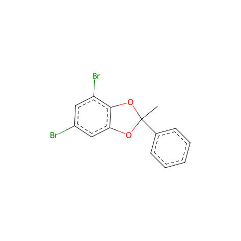 CC1(c2ccccc2)Oc2cc(Br)cc(Br)c2O1